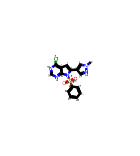 Cn1cc(-c2cc3c(Cl)ncnc3n2S(=O)(=O)c2ccccc2)cn1